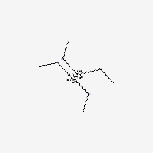 CCCCCCCC/C=C\CCCCCCCCC(O)[C@](O)(CCCCCCCC/C=C\CCCCCCCC)[C@@H](O)[C@H](O)[C@@](O)(CCCCCCCC/C=C\CCCCCCCC)C(O)CCCCCCCC/C=C\CCCCCCCC